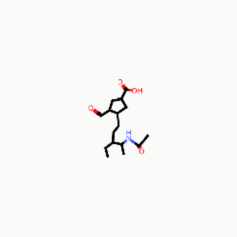 CCC(CCC1CC(C(=O)O)CC1C=O)C(C)NC(C)=O